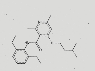 CCc1cccc(CC)c1NC(=O)c1c(OCCC(C)C)cc(C)nc1C